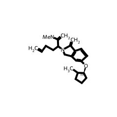 C=CCCC(C(=C)NC)N1Cc2cc(O[C@H]3CCCC3C)ccc2C1=C